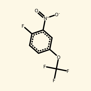 O=[N+]([O-])c1cc(OC(F)(F)F)ccc1F